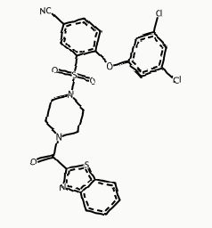 N#Cc1ccc(Oc2cc(Cl)cc(Cl)c2)c(S(=O)(=O)N2CCN(C(=O)c3nc4ccccc4s3)CC2)c1